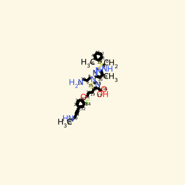 C=C(Nc1nnc(N(CCCN)c2nc(C(=O)O)c(CCCOc3ccc(C#CCNC)cc3F)s2)cc1C)Sc1ccccc1C